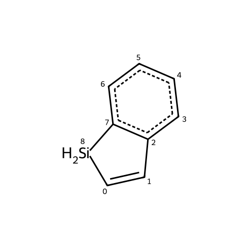 C1=Cc2ccccc2[SiH2]1